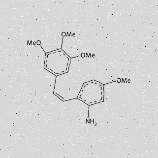 COc1ccc(/C=C\c2cc(OC)c(OC)c(OC)c2)c(N)c1